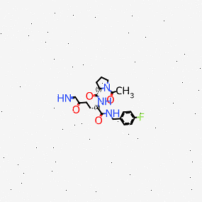 CC(=O)N1CCC[C@H]1C(=O)N[C@@H](CCC(=O)C=N)C(=O)NCc1ccc(F)cc1